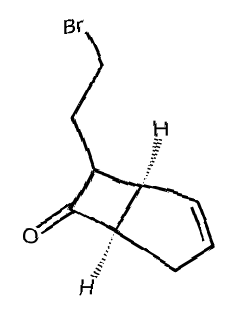 O=C1C(CCBr)[C@H]2C=CC[C@@H]12